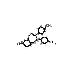 Cc1ccc(C2=NCc3cc(Cl)ccc3N=C2c2ccc(C)cc2)cc1